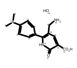 CN(C)c1ccc(-c2[nH]c(=O)c(C(=O)O)cc2CN)cc1.Cl